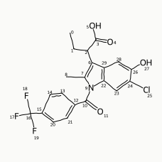 CCC(C(=O)O)c1c(C)n(C(=O)c2ccc(C(F)(F)F)cc2)c2cc(Cl)c(O)cc12